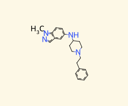 Cn1ncc2cc(NC3CCN(CCc4ccccc4)CC3)ccc21